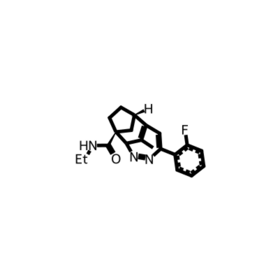 CCNC(=O)[C@@]12CC[C@@H](C1)C1=C(C)C2N=NC(c2ccccc2F)=C1